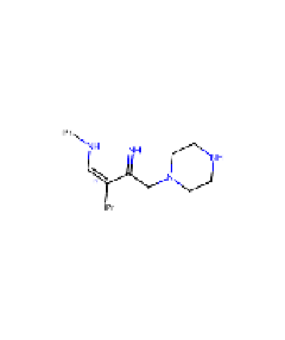 CC(C)N/C=C(\C(=N)CN1CCNCC1)C(C)C